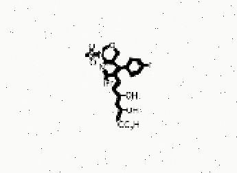 CC(C)c1nc2c(c(-c3ccc(F)cc3)c1/C=C/[C@@H](O)C[C@@H](O)CC(=O)O)COCN2S(C)(=O)=O